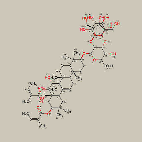 C/C=C(/C)C(=O)O[C@H]1[C@H](OC(=O)/C(C)=C\C)[C@@]2(CO)C(CC1(C)C)C1=CCC3[C@@]4(C)CC[C@H](O[C@@H]5OC(C(=O)O)[C@@H](O)[C@@H](O[C@@H]6O[C@@H](CO)C(O)[C@@H]6O)C5O[C@@H]5OC(CO)[C@H](O)[C@@H](O)C5O)C(C)(C)C4CC[C@@]3(C)[C@]1(C)[C@@H](O)[C@@H]2O